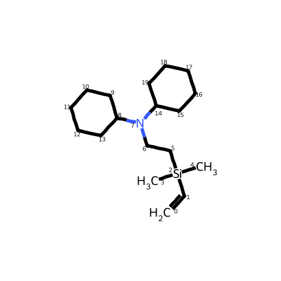 C=C[Si](C)(C)CCN(C1CCCCC1)C1CCCCC1